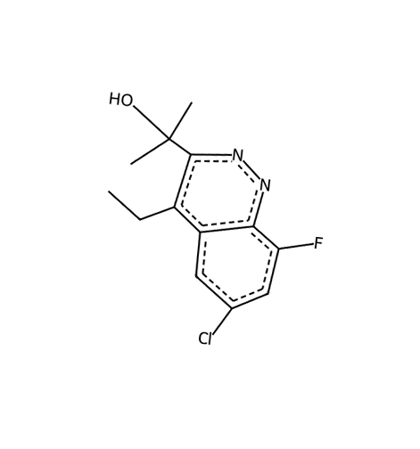 CCc1c(C(C)(C)O)nnc2c(F)cc(Cl)cc12